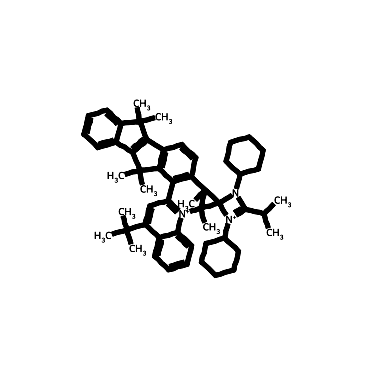 CC(C)C1=[N+](C2CCCCC2)C2(N1C1CCCCC1)C1(C)c3ccc4c(c3-c3cc(C(C)(C)C)c5ccccc5[n+]3C12C)C(C)(C)C1=C4C(C)(C)c2ccccc21